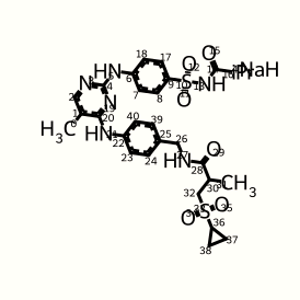 Cc1cnc(Nc2ccc(S(=O)(=O)NC(=O)C(C)C)cc2)nc1Nc1ccc(CNC(=O)C(C)CS(=O)(=O)C2CC2)cc1.[NaH]